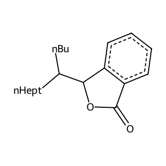 CCCCCCCC(CCCC)C1OC(=O)c2ccccc21